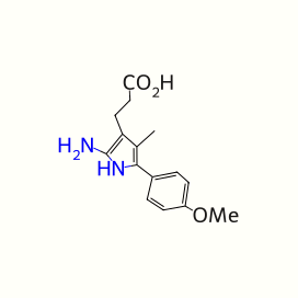 COc1ccc(-c2[nH]c(N)c(CCC(=O)O)c2C)cc1